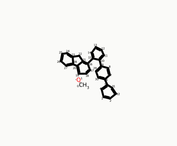 C[O].c1ccc(-c2ccc(-c3ccccc3-c3cccc4c3Cc3ccccc3-4)cc2)cc1